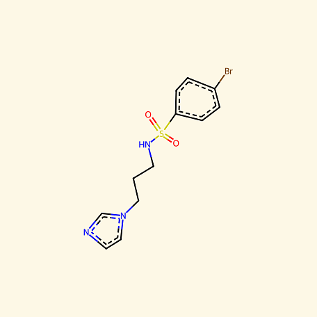 O=S(=O)(NCCCn1ccnc1)c1ccc(Br)cc1